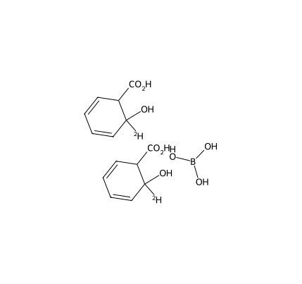 OB(O)O.[2H]C1(O)C=CC=CC1C(=O)O.[2H]C1(O)C=CC=CC1C(=O)O